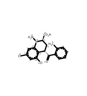 Cc1ccccc1C(=O)[C@H]1C[C@H](C(=O)O)N(N)c2cc(Cl)cc(Cl)c21